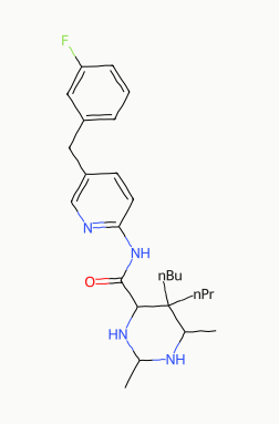 CCCCC1(CCC)C(C)NC(C)NC1C(=O)Nc1ccc(Cc2cccc(F)c2)cn1